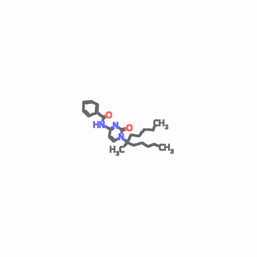 CCCCCC(C)(CCCCC)n1ccc(NC(=O)c2ccccc2)nc1=O